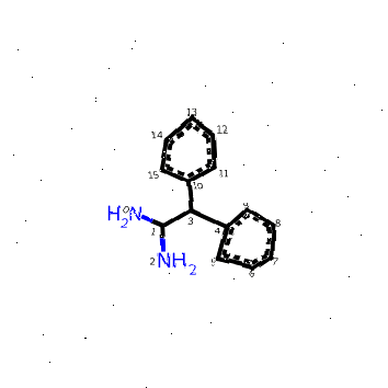 NC(N)C(c1ccccc1)c1ccccc1